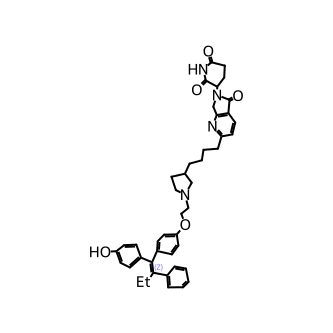 CC/C(=C(\c1ccc(O)cc1)c1ccc(OCCN2CCC(CCCCc3ccc4c(n3)CN(C3CCC(=O)NC3=O)C4=O)C2)cc1)c1ccccc1